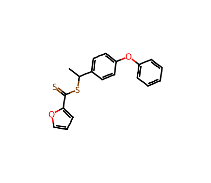 CC(SC(=S)c1ccco1)c1ccc(Oc2ccccc2)cc1